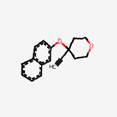 C#CC1(Oc2ccc3ccccc3c2)CCOCC1